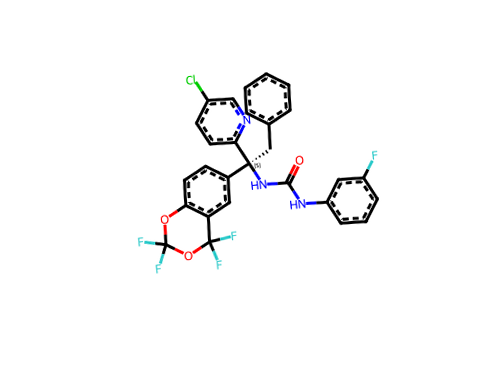 O=C(Nc1cccc(F)c1)N[C@@](Cc1ccccc1)(c1ccc2c(c1)C(F)(F)OC(F)(F)O2)c1ccc(Cl)cn1